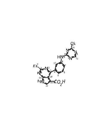 CCc1nc(-c2cccc(Nc3ncnc(C#N)n3)c2)c2c(C(=O)O)c[nH]c2n1